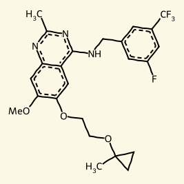 COc1cc2nc(C)nc(NCc3cc(F)cc(C(F)(F)F)c3)c2cc1OCCOC1(C)CC1